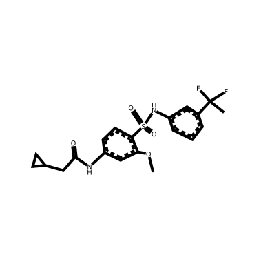 COc1cc(NC(=O)CC2CC2)ccc1S(=O)(=O)Nc1cccc(C(F)(F)F)c1